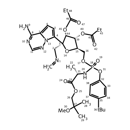 C=NC[C@@]1(c2ccc3c(N)ncnn23)O[C@H](COP(=O)(N[C@@H](C)C(=O)OCC(C)(C)OC)Oc2ccc(C(C)(C)C)cc2)[C@@H](OC(=O)CC)[C@H]1OC(=O)CC